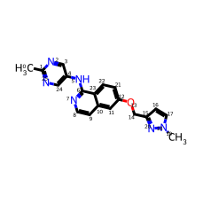 Cc1ncc(Nc2nccc3cc(OCc4ccn(C)n4)ccc23)cn1